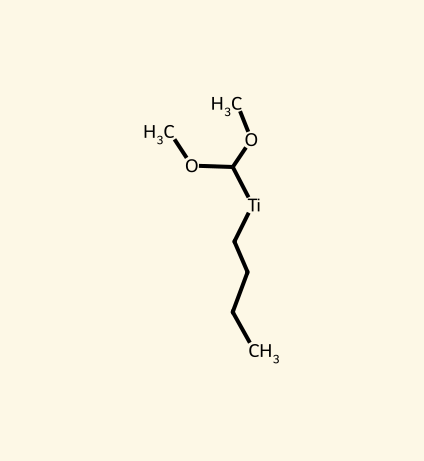 CCC[CH2][Ti][CH](OC)OC